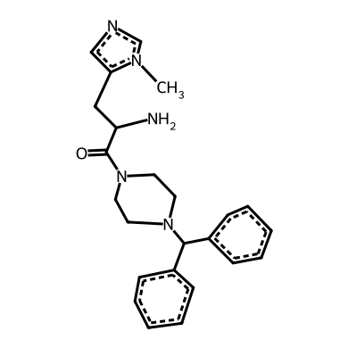 Cn1cncc1CC(N)C(=O)N1CCN(C(c2ccccc2)c2ccccc2)CC1